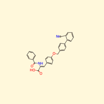 N#Cc1ccccc1-c1ccc(COc2ccc(C=C(NC(=O)c3ccccc3)C(=O)O)cc2)cc1